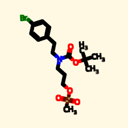 CC(C)(C)OC(=O)N(CCCOS(C)(=O)=O)CCc1ccc(Br)cc1